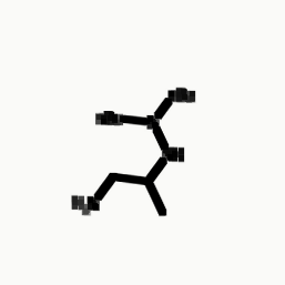 CCCCN(CCCC)NC(C)CN